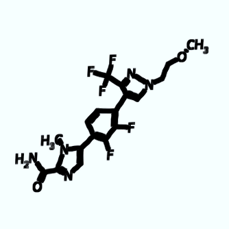 COCCn1cc(-c2ccc(-c3cnc(C(N)=O)n3C)c(F)c2F)c(C(F)(F)F)n1